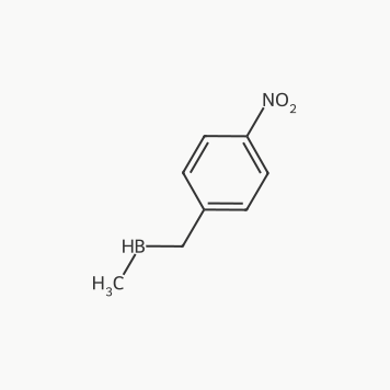 CBCc1ccc([N+](=O)[O-])cc1